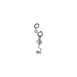 CCC(C)CCC12CC[PH](c3cccc(Oc4ccccc4)c3)(CC1)OC2